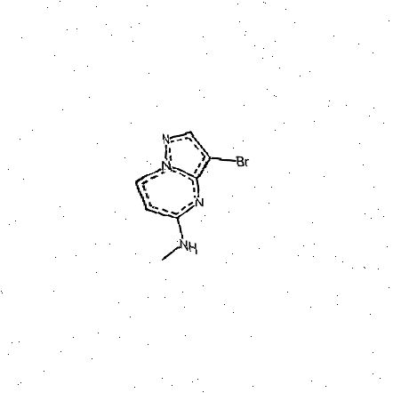 CNc1ccn2ncc(Br)c2n1